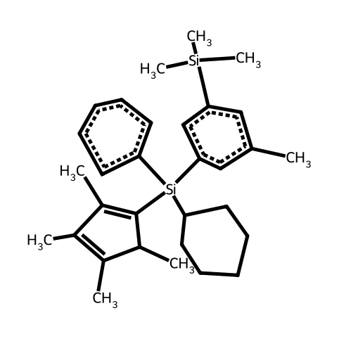 CC1=C(C)C(C)C([Si](c2ccccc2)(c2cc(C)cc([Si](C)(C)C)c2)C2CCCCC2)=C1C